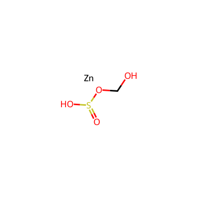 O=S(O)OCO.[Zn]